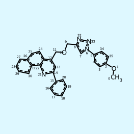 COc1ccc(-n2cc(COCc3cc(-c4ccccc4)nc4c3ccc3ccccc34)nn2)cc1